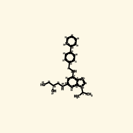 CC(C)n1cnc2c(NCc3ccc(-c4ccccn4)cc3)cc(NC[C@H](O)CO)nc21